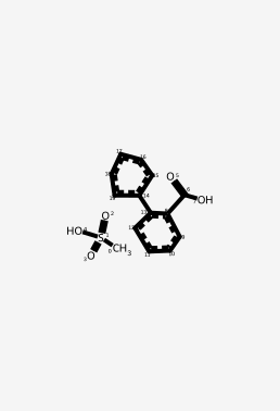 CS(=O)(=O)O.O=C(O)c1ccccc1-c1ccccc1